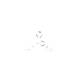 COC(=O)c1cc(-c2ccccc2)n(COCC[Si](C)(C)C)c1